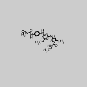 CCNC(=O)Nc1ccc(Nc2nc(CC)nc(Nc3cc(C)n(C(=O)NCC)n3)n2)cc1